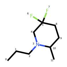 CCCN1CC(F)(F)CCC1C